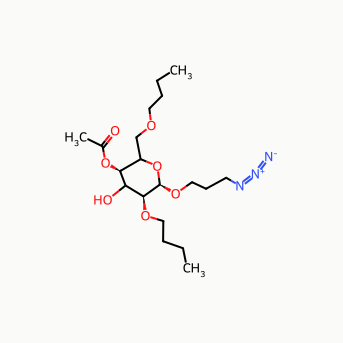 CCCCOCC1O[C@@H](OCCCN=[N+]=[N-])[C@@H](OCCCC)C(O)[C@H]1OC(C)=O